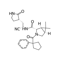 CC1(C)[C@@H]2[C@@H](C(=O)N[C@H](C#N)C[C@@H]3CCNC3=O)N(C(=O)C3(c4ccccc4)CCCC3)C[C@@H]21